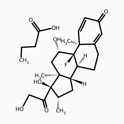 CCCC(=O)O.C[C@H]1C[C@H]2[C@@H]3CCC4=CC(=O)C=C[C@]4(C)[C@@]3(F)[C@@H](O)C[C@]2(C)[C@@]1(O)C(=O)CO